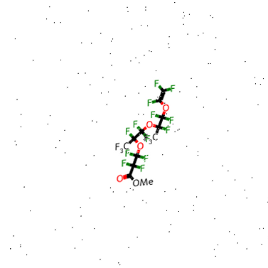 COC(=O)C(F)(F)C(F)(F)OC(F)(C(F)(F)F)C(F)(F)OC(F)(C(F)(F)F)C(F)(F)OC(F)=C(F)F